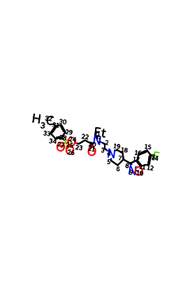 CCN(CCN1CCC(c2noc3cc(F)ccc23)CC1)C(=O)CCOS(=O)(=O)c1ccc(C)cc1